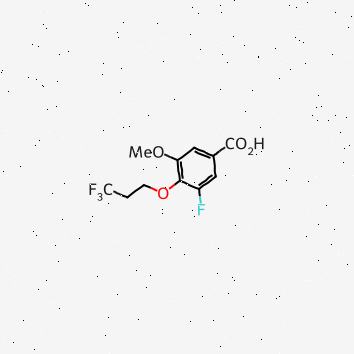 COc1cc(C(=O)O)cc(F)c1OCCC(F)(F)F